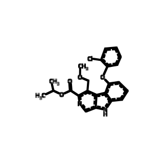 COCc1c(C(=O)OC(C)C)ncc2[nH]c3cccc(Oc4ccccc4Cl)c3c12